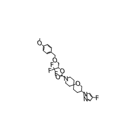 COc1ccc(COC[C@@H](OC(=O)N2CCC3(CCC(n4cc(F)cn4)CO3)CC2)C(F)(F)F)cc1